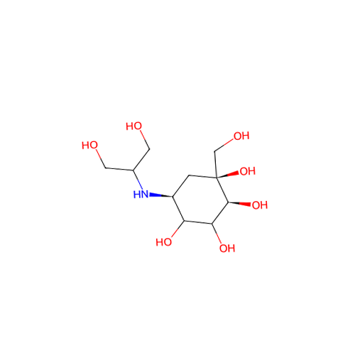 OCC(CO)N[C@H]1C[C@](O)(CO)[C@@H](O)C(O)C1O